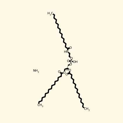 CCCCCCCCCCCCCCCC(=O)NCCOP(=O)(O)OC[C@@H](COC(=O)CCCCCCCCCCCCCCC)OC(=O)CCCCCCCCCCCCCCC.N